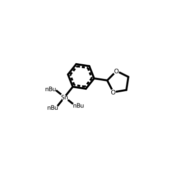 CCC[CH2][Sn]([CH2]CCC)([CH2]CCC)[c]1cccc(C2OCCO2)c1